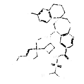 CC/C=C/[C@](CO)(OC)[C@@H]1CC[C@H]1CN1C[C@@]2(CCCc3cc(Cl)ccc32)COc2ccc(C(=O)NS(=O)(=O)C(C)C)cc21